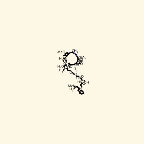 CNN(C)Cc1cc2ccccc2n1CCC(=O)N[C@@H](CO)C(=O)NCCOCCOCCC(=O)N(C)[C@@H](C)C(=O)O[C@H]1CC(=O)N(C)c2cc(cc(OC)c2Cl)C/C(C)=C/C=C/[C@@H](OC)[C@@]2(O)C[C@H](OC(=O)N2)[C@@H](C)C2O[C@]21C